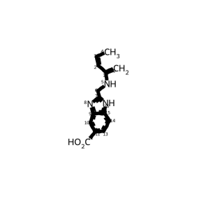 C=C(/C=C\C)NCc1nc2cc(C(=O)O)ccc2[nH]1